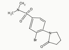 CN(C)S(=O)(=O)c1ccc(N2CCCC2=O)c(Br)c1